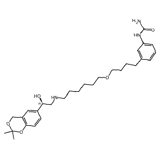 CC1(C)OCc2cc([C@@H](O)CNCCCCCCOCCCCc3cccc(NC(N)=O)c3)ccc2O1